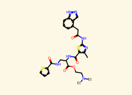 CCN(CC)CCOC(=O)C(CNC(=O)c1cccs1)NC(=O)c1sc(NC(=O)Cc2cccc3[nH]ncc23)nc1C